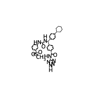 CS(=O)(=O)c1cccc(NC(=O)NC(c2ccc(C(=O)Nc3nn[nH]n3)cc2)c2ccc(C3CCCCC3)cc2)c1